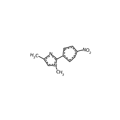 Cc1cn(C)c(-c2ccc([N+](=O)[O-])cc2)n1